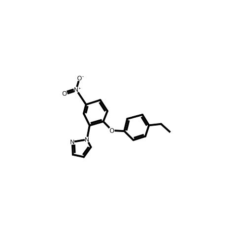 CCc1ccc(Oc2ccc([N+](=O)[O-])cc2-n2cccn2)cc1